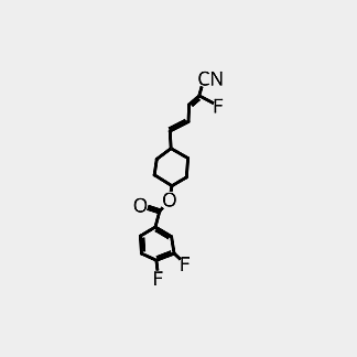 N#CC(F)=CC=CC1CCC(OC(=O)c2ccc(F)c(F)c2)CC1